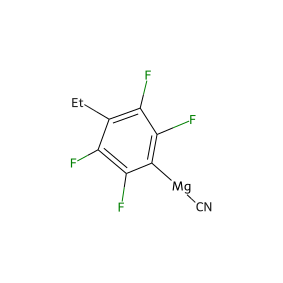 CCc1c(F)c(F)[c]([Mg][C]#N)c(F)c1F